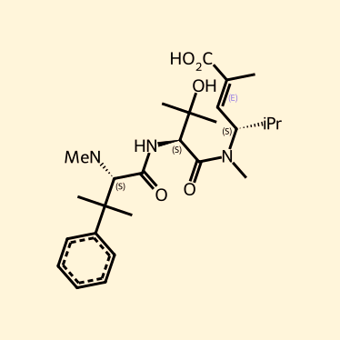 CN[C@H](C(=O)N[C@H](C(=O)N(C)[C@H](/C=C(\C)C(=O)O)C(C)C)C(C)(C)O)C(C)(C)c1ccccc1